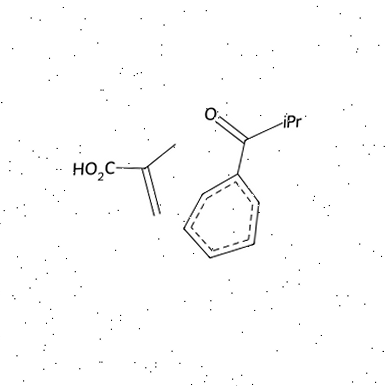 C=C(C)C(=O)O.CC(C)C(=O)c1ccccc1